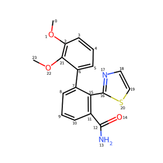 COc1cccc(-c2cccc(C(N)=O)c2-c2nccs2)c1OC